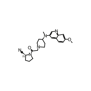 COc1ccc2cc(N(C)C3CCN(CC(=O)N4CCC[C@H]4C#N)CC3)cnc2c1